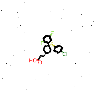 O=C(O)CC[C@H]1CC[C@](Sc2ccc(Cl)cc2)(c2cc(F)ccc2F)CC1